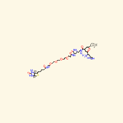 NC(=O)C(CCCCNC(=O)C(CCC(=O)O)CC(=O)C(N)Cc1cnc[nH]1)NC(=O)CCOCCOCCOCCOCCNC(=O)CCCCC1SC[C@H]2NC(=O)N[C@@H]12